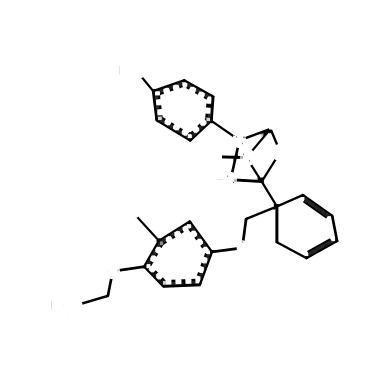 CCc1cc(SCC2(C34NN(c5ccc(C(F)(F)F)cc5)C(O3)N4C)C=CC=CC2)ccc1OCC(=O)O